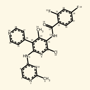 Cc1nccc(Nc2nc(Cl)c(NC(=O)c3ccc(F)cc3F)c(C)c2-c2ccncc2)n1